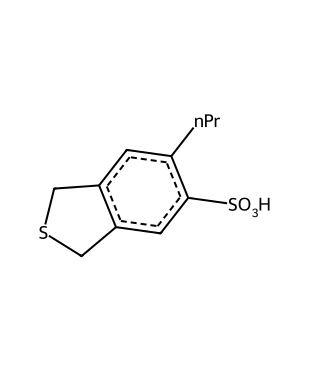 CCCc1cc2c(cc1S(=O)(=O)O)CSC2